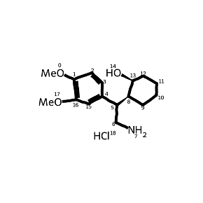 COc1ccc(C(CN)[C@@H]2CCCC[C@@H]2O)cc1OC.Cl